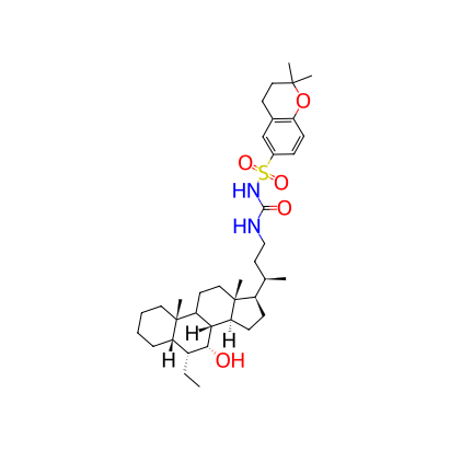 CC[C@H]1[C@@H](O)[C@@H]2C(CC[C@]3(C)[C@@H]([C@H](C)CCNC(=O)NS(=O)(=O)c4ccc5c(c4)CCC(C)(C)O5)CC[C@@H]23)[C@@]2(C)CCCC[C@@H]12